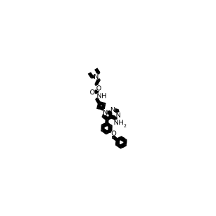 CCN(CC)CCOC(=O)NCC1CC(n2cc(-c3cccc(OCc4ccccc4)c3)c3c(N)ncnc32)C1